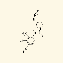 Cc1c(N2CC3[C@H](N=[N+]=[N-])CCN3C2=O)ccc(C#N)c1Cl